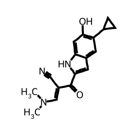 CN(C)/C=C(\C#N)C(=O)c1cc2cc(C3CC3)c(O)cc2[nH]1